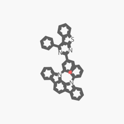 c1ccc(-c2nc(-c3cccc(-n4c5ccccc5c5ccc6c7ccccc7n(-c7ccccc7)c6c54)c3)nc3sc4ccccc4c23)cc1